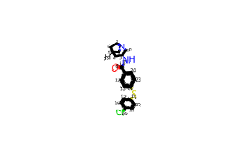 O=C(N[C@@H]1C[C@H]2CCN(C2)C1)c1ccc(Sc2ccc(Cl)cc2)cc1